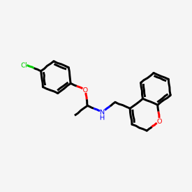 CC(NCC1=CCOc2ccccc21)Oc1ccc(Cl)cc1